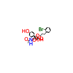 CC(=O)Nc1cc(O)ccc1[As](=O)(O)OC(=O)CCc1ccccc1Br